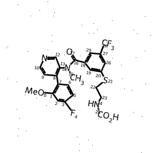 COc1cc(F)ccc1-c1ccncc1N(C)C(=O)c1cc(SCCNC(=O)O)cc(C(F)(F)F)c1